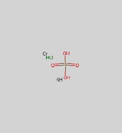 Cl.O=S(=O)(O)O.[Cr].[KH]